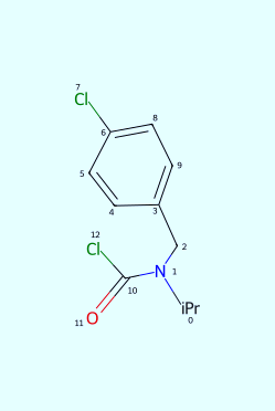 CC(C)N(Cc1ccc(Cl)cc1)C(=O)Cl